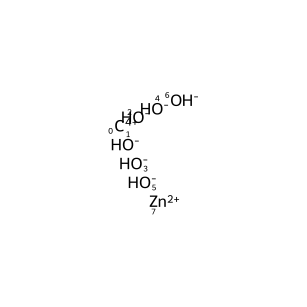 [C+4].[OH-].[OH-].[OH-].[OH-].[OH-].[OH-].[Zn+2]